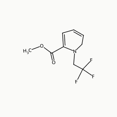 COC(=O)C1=CC=CCN1CC(F)(F)F